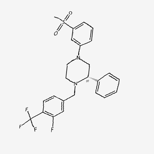 CS(=O)(=O)c1cccc(N2CCN(Cc3ccc(C(F)(F)F)c(F)c3)[C@@H](c3ccccc3)C2)c1